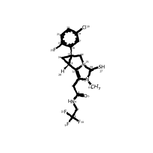 CN1C(CC(=O)NCC(F)(F)F)=C2[C@@H]3C[C@]3(c3cc(Cl)ccc3F)CN2C1S